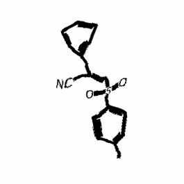 Cc1ccc(S(=O)(=O)/C=C(\C#N)c2ccccc2)cc1